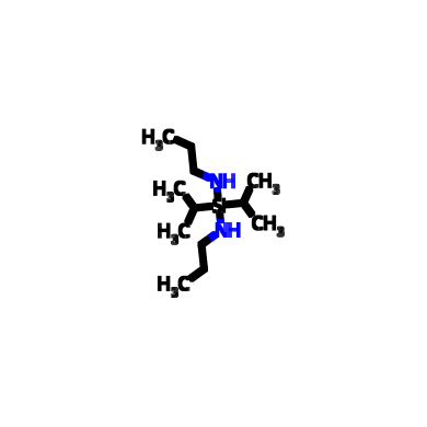 CCCN[Si](NCCC)(C(C)C)C(C)C